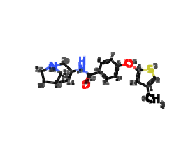 Cc1csc(Oc2ccc(C(=O)NC3CC4CCN(C4)C3)cc2)c1